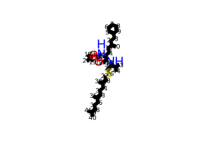 C=C(CCc1ccccc1)CCC(NC(=O)OC(C)(C)C)C(=C)NC(CSC/C=C(\C)CC/C=C(\C)CCC=C(C)C)C(=C)C